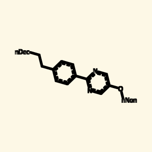 CCCCCCCCCCCCc1ccc(-c2ncc(OCCCCCCCCC)cn2)cc1